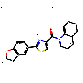 O=C(c1csc(-c2ccc3c(c2)CCO3)n1)N1CCCC2CCCC=C21